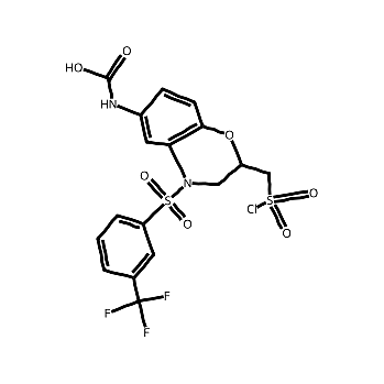 O=C(O)Nc1ccc2c(c1)N(S(=O)(=O)c1cccc(C(F)(F)F)c1)CC(CS(=O)(=O)Cl)O2